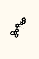 Cc1c(-c2ccc3c4c(c5c(c3c2)C=CCC5)CCC=C4)cccc1-c1cc2ccc3ccccc3c2s1